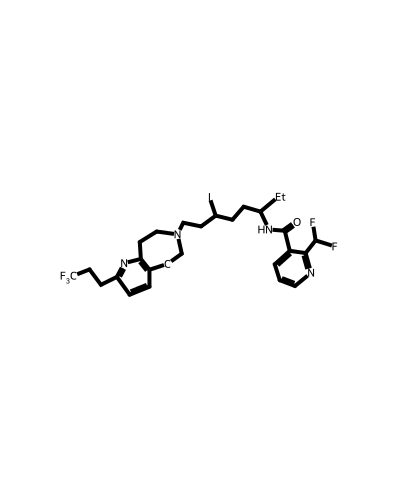 CCC(CCC(I)CCN1CCc2ccc(CCC(F)(F)F)nc2CC1)NC(=O)c1cccnc1C(F)F